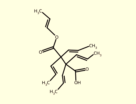 CC=COC(=O)C(C=CC)(C=CC)C(C=CC)(C=CC)C(=O)O